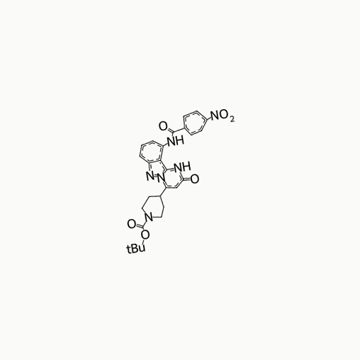 CC(C)(C)OC(=O)N1CCC(c2cc(=O)[nH]c3c4c(NC(=O)c5ccc([N+](=O)[O-])cc5)cccc4nn23)CC1